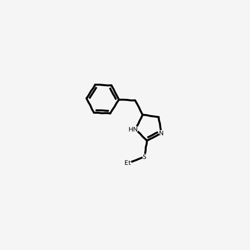 [CH2]CSC1=NCC(Cc2ccccc2)N1